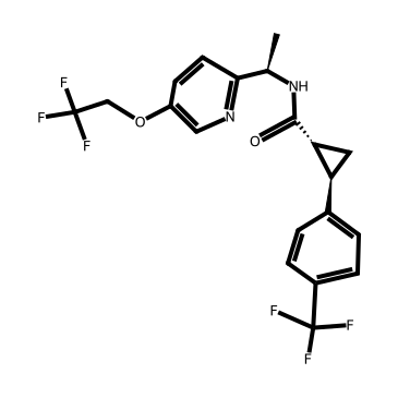 C[C@@H](NC(=O)[C@@H]1C[C@H]1c1ccc(C(F)(F)F)cc1)c1ccc(OCC(F)(F)F)cn1